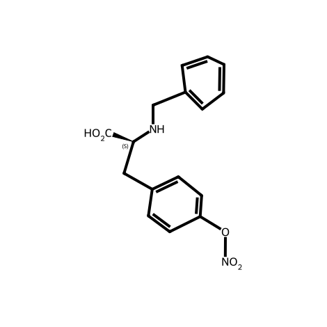 O=C(O)[C@H](Cc1ccc(O[N+](=O)[O-])cc1)NCc1ccccc1